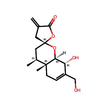 C=C1C[C@@]2(C[C@H](C)[C@@]3(C)CC=C(CO)[C@@H](O)[C@@H]3O2)OC1=O